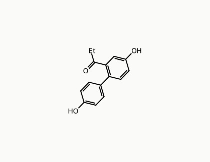 CCC(=O)c1cc(O)ccc1-c1ccc(O)cc1